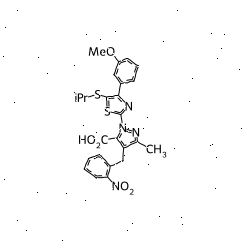 COc1cccc(-c2nc(-n3nc(C)c(Cc4ccccc4[N+](=O)[O-])c3C(=O)O)sc2SC(C)C)c1